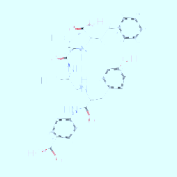 CC(CNC(Cc1ccc(O)cc1)C(=O)Nc1ccc(C(=O)O)cc1)NC(=O)[C@H](C)NC(CCc1ccccc1)C(=O)O